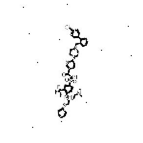 CN(C)CC[C@H](CSc1ccccc1)Nc1ccc(S(=O)(=O)NC(=O)c2ccc(N3CCN(Cc4ccccc4-c4ccc(Cl)cc4)CC3)nc2)cc1C(F)(F)F